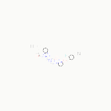 CC(c1nc2ccc(C(=O)O)cc2n1C[C@@H]1CCO1)N1CCN(c2cccc(OCc3ccc(C#N)cc3F)n2)C(=O)C1